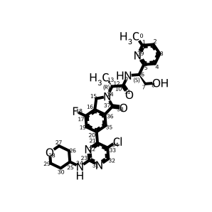 Cc1cccc([C@@H](CO)NC(=O)[C@@H](C)N2Cc3c(F)cc(-c4nc(NC5CCOCC5)ncc4Cl)cc3C2=O)n1